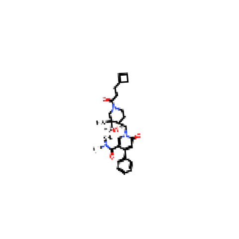 CN(C)C(=O)c1cn(C[C@]2(O)CCN(C(=O)CCC3CCC3)CC2(C)C)c(=O)cc1-c1ccccc1